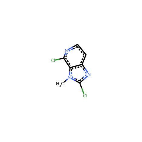 Cn1c(Cl)nc2ccnc(Cl)c21